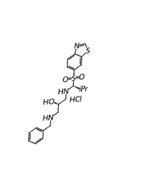 CC(C)[C@@H](NC[C@H](O)CNCc1ccccc1)S(=O)(=O)c1ccc2ncsc2c1.Cl